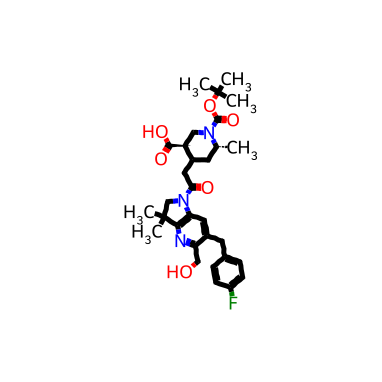 C[C@@H]1CC(CC(=O)N2CC(C)(C)c3nc(CO)c(Cc4ccc(F)cc4)cc32)[C@@H](C(=O)O)CN1C(=O)OC(C)(C)C